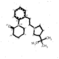 CC(C)(C)C1CCN(CCc2ccccc2N2CCCCC2=O)C1